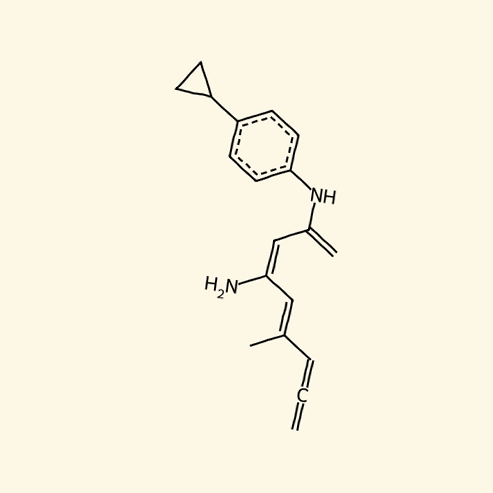 C=C=C/C(C)=C/C(N)=C\C(=C)Nc1ccc(C2CC2)cc1